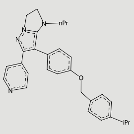 CCCN1CCn2nc(-c3ccncc3)c(-c3ccc(OCc4ccc(C(C)C)cc4)cc3)c21